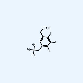 [2H]C([2H])([2H])Oc1cc(CC(=O)O)c(F)c(F)c1F